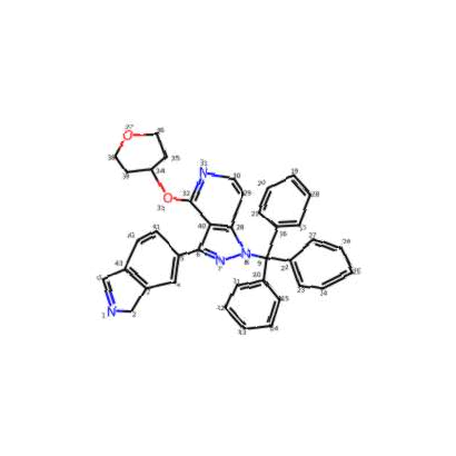 C1=NCc2cc(-c3nn(C(c4ccccc4)(c4ccccc4)c4ccccc4)c4ccnc(OC5CCOCC5)c34)ccc21